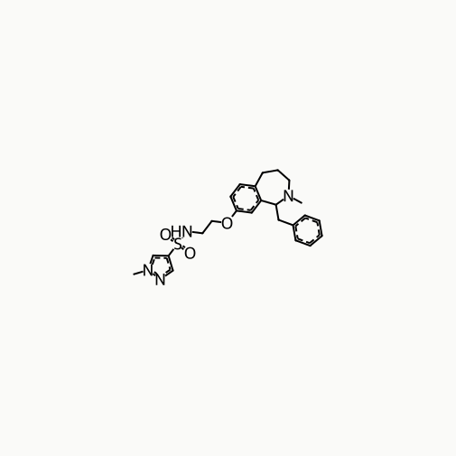 CN1CCCc2ccc(OCCNS(=O)(=O)c3cnn(C)c3)cc2C1Cc1ccccc1